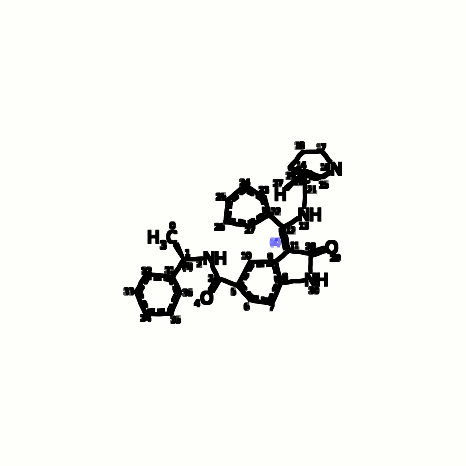 C[C@@H](NC(=O)c1ccc2c(c1)/C(=C(/N[C@H]1CN3CCC1CC3)c1ccccc1)C(=O)N2)c1ccccc1